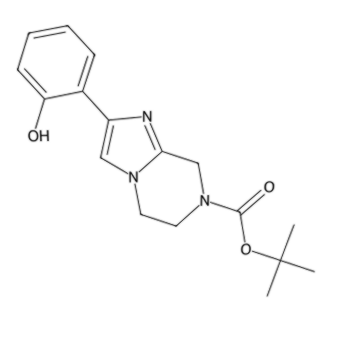 CC(C)(C)OC(=O)N1CCn2cc(-c3ccccc3O)nc2C1